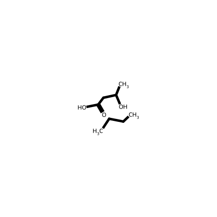 CC(O)CC(=O)O.CCCC